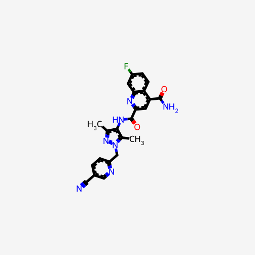 Cc1nn(Cc2ccc(C#N)cn2)c(C)c1NC(=O)c1cc(C(N)=O)c2ccc(F)cc2n1